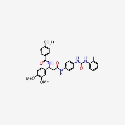 COc1ccc(C(CC(=O)Nc2ccc(NC(=O)Nc3ccccc3C)cc2)NC(=O)c2ccc(C(=O)O)cc2)cc1OC